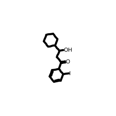 O=C(CC(O)C1CCCCC1)C1C=CC=CC1I